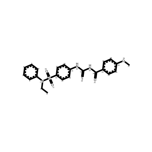 CCN(c1ccccc1)S(=O)(=O)c1ccc(NC(=S)NC(=O)c2ccc(OC)cc2)cc1